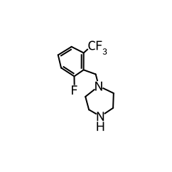 Fc1cccc(C(F)(F)F)c1CN1CCNCC1